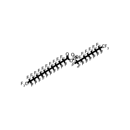 O=C(OS(=O)(=O)C(F)(F)C(F)(F)C(F)(F)C(F)(F)C(F)(F)C(F)(F)C(F)(F)C(F)(F)F)C(F)(F)C(F)(F)C(F)(F)C(F)(F)C(F)(F)C(F)(F)C(F)(F)C(F)(F)C(F)(F)C(F)(F)C(F)(F)F